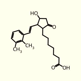 Cc1cccc(/C=C/C2C(O)CC(=O)C2CCCCCCC(=O)O)c1C